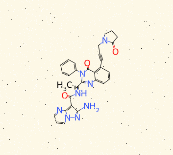 C[C@@H](NC(=O)c1c(N)nn2cccnc12)c1nc2cccc(C#CCN3CCCC3=O)c2c(=O)n1-c1ccccc1